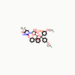 COc1ccc(C(OC(C(=O)c2ccccc2)[C@H]2O[C@@H](n3cc(C)c(=O)[nH]c3=O)C[C@]2(O)OP=O)(c2ccccc2)c2ccc(OC)cc2)cc1